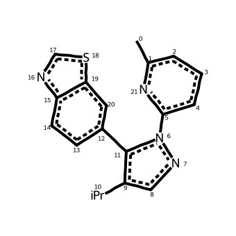 Cc1cccc(-n2ncc(C(C)C)c2-c2ccc3ncsc3c2)n1